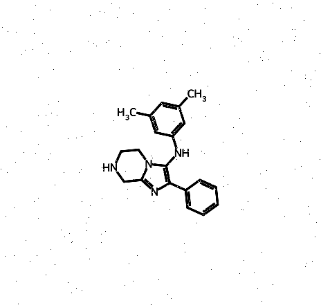 Cc1cc(C)cc(Nc2c(-c3ccccc3)nc3n2CCNC3)c1